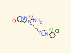 COc1ccn2nc(N(CCCCCN3CCN(c4cccc(Cl)c4Cl)CC3)C(N)=O)cc2c1